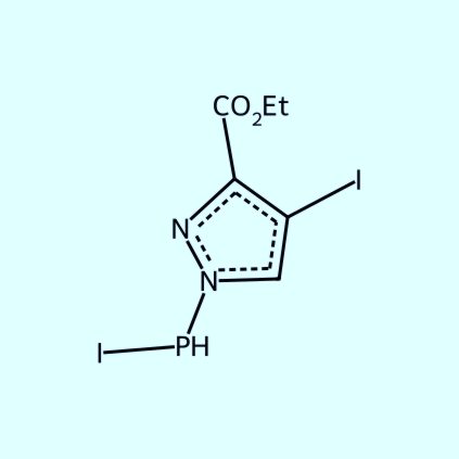 CCOC(=O)c1nn(PI)cc1I